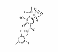 Cc1cc(F)c(CNC(=O)c2cn3c(c(O)c2=O)C(=O)N(C)[C@@H]2COC[C@@H]23)c(F)c1